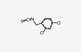 S=C=NCc1ccc(Cl)cc1Cl